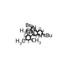 Cc1cc(C)c(-c2cc3nc(C(C)(C)C)ccc3c3nc(Br)c(C)n23)c(C)c1